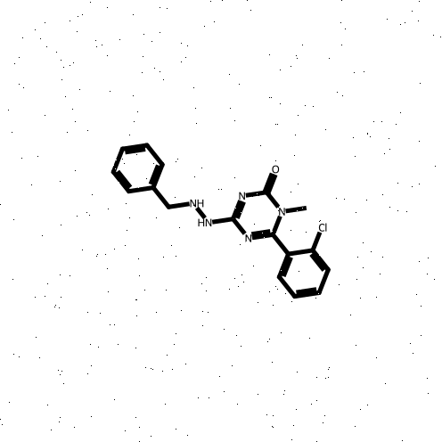 Cn1c(-c2ccccc2Cl)nc(NNCc2ccccc2)nc1=O